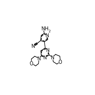 N#Cc1cc(N)ncc1-c1cc(N2CCOCC2)nc(N2CCOCC2)n1